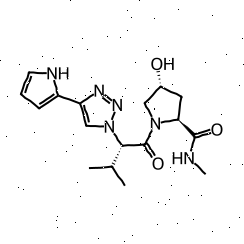 CNC(=O)[C@@H]1C[C@@H](O)CN1C(=O)[C@H](C(C)C)n1cc(-c2ccc[nH]2)nn1